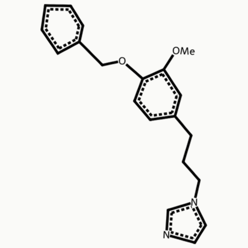 COc1cc(CCCn2ccnc2)ccc1OCc1ccccc1